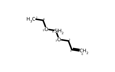 C=CCO[SiH2]OCC